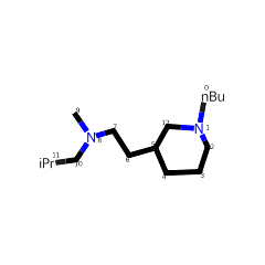 CCCCN1CCCC(CCN(C)CC(C)C)C1